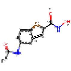 CC(C)C(=O)Nc1ccc2sc(C(=O)NO)cc2c1